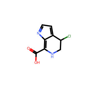 O=C(O)C1=C2N=CC=C2C(Cl)CN1